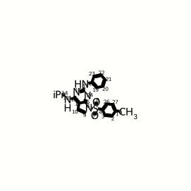 Cc1ccc(S(=O)(=O)n2ccc3c(NC(C)C)nc(Nc4ccccc4)nc32)cc1